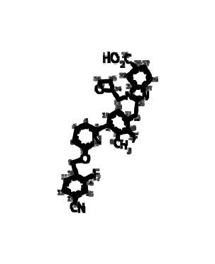 Cc1c(-c2cccc(OCc3ccc(C#N)cc3F)n2)ccc(Cc2nc3ccc(C(=O)O)cc3n2CC2CCO2)c1F